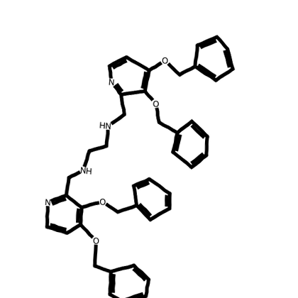 c1ccc(COc2ccnc(CNCCNCc3nccc(OCc4ccccc4)c3OCc3ccccc3)c2OCc2ccccc2)cc1